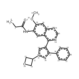 CCC(=O)Nc1cc2c(-c3cn(C4COC4)nc3-c3ccccc3)ncnc2cc1OC